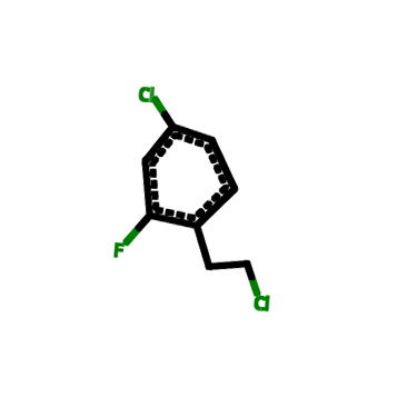 Fc1cc(Cl)ccc1CCCl